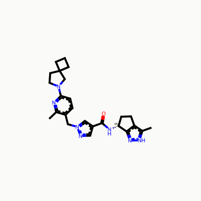 Cc1nc(N2CCC3(CCC3)C2)ccc1Cn1cc(C(=O)N[C@@H]2CCc3c2n[nH]c3C)cn1